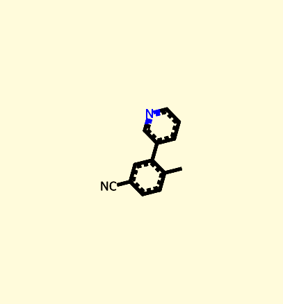 Cc1ccc(C#N)cc1-c1cccnc1